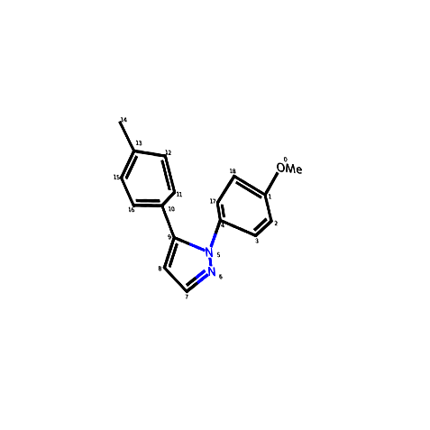 COc1ccc(-n2nccc2-c2ccc(C)cc2)cc1